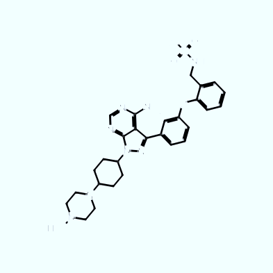 CN1CCN(C2CCC(n3nc(-c4cccc(Oc5ccccc5CNS(=O)(=O)C(F)(F)F)c4)c4c(N)ncnc43)CC2)CC1